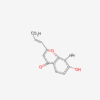 CCCc1c(O)ccc2c(=O)cc(/C=C/C(=O)O)oc12